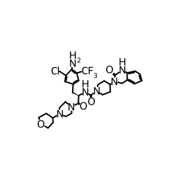 Nc1c(Cl)cc(C[C@@H](NC(=O)N2CCC(N3Cc4ccccc4NC3=O)CC2)C(=O)N2CCN(C3CCOCC3)CC2)cc1C(F)(F)F